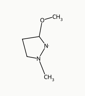 COC1CCN(C)[N]1